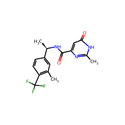 Cc1nc(C(=O)N[C@H](C)c2ccc(C(F)(F)F)c(C)c2)cc(=O)[nH]1